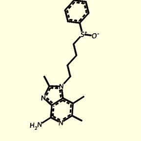 Cc1nc(N)c2nc(C)n(CCCC[S+]([O-])c3ccccc3)c2c1C